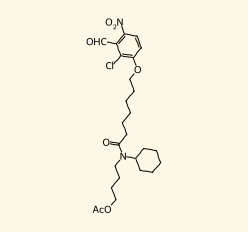 CC(=O)OCCCCN(C(=O)CCCCCCOc1ccc([N+](=O)[O-])c(C=O)c1Cl)C1CCCCC1